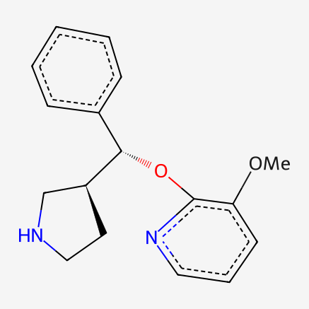 COc1cccnc1O[C@@H](c1ccccc1)[C@H]1CCNC1